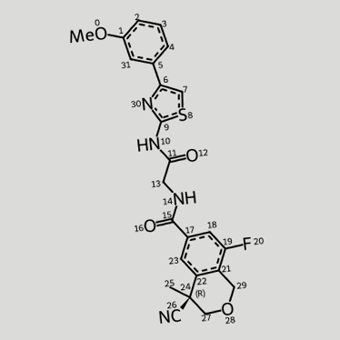 COc1cccc(-c2csc(NC(=O)CNC(=O)c3cc(F)c4c(c3)[C@](C)(C#N)COC4)n2)c1